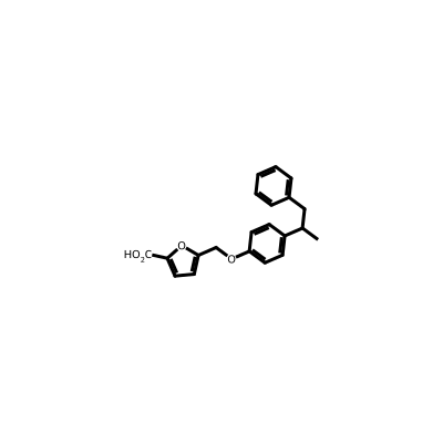 CC(Cc1ccccc1)c1ccc(OCc2ccc(C(=O)O)o2)cc1